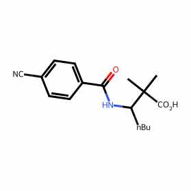 CCCCC(NC(=O)c1ccc(C#N)cc1)C(C)(C)C(=O)O